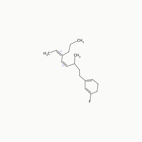 C/C=C(\C=C/C(C)CCC1=CCCC(F)=C1)CCC